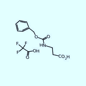 O=C(O)C(F)(F)F.O=C(O)CCNC(=O)OCc1ccccc1